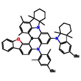 Cc1cc(C)c2c3c1B1c4c(cc(N5c6ccc(C(C)(C)C)cc6C6(C)CCCCC56C)cc4N3C3(C)CCCCC23C)N(c2c(C)cc(C(C)(C)C)cc2C)c2ccc3c(oc4ccccc43)c21